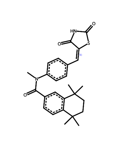 CN(C(=O)c1ccc2c(c1)C(C)(C)CCC2(C)C)c1ccc(/C=C2/SC(=O)NC2=O)cc1